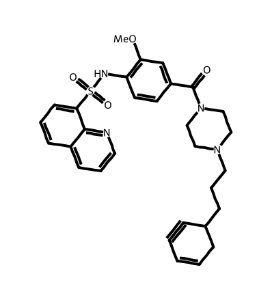 COc1cc(C(=O)N2CCN(CCCC3C#CC=CC3)CC2)ccc1NS(=O)(=O)c1cccc2cccnc12